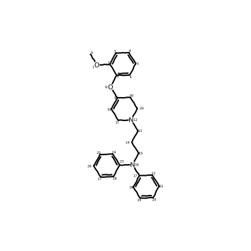 COc1ccccc1OC1=CCN(CCCN(c2ccccc2)c2ccccc2)CC1